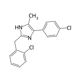 Cc1[nH]c(Cc2ccccc2Cl)nc1-c1ccc(Cl)cc1